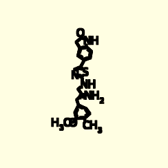 COc1cc(C[C@H](N)CNc2ncc(-c3ccc4c(c3)CC(=O)N4)s2)ccc1C